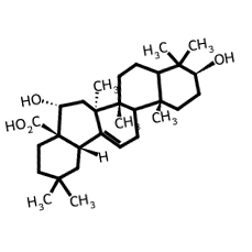 CC1(C)CC[C@]2(C(=O)O)[C@H](O)C[C@]3(C)C(=CCC4[C@@]5(C)CC[C@H](O)C(C)(C)C5CC[C@]43C)[C@@H]2C1